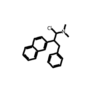 CN(C)C(Cl)C(Cc1ccccc1)c1ccc2ccccc2c1